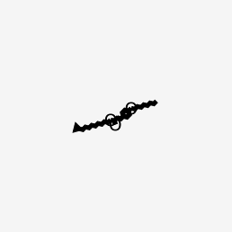 CCCCCCCCOc1ccc(C=CC(=O)OCCCCCCCCCC2CC2)cc1